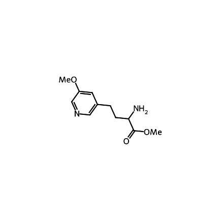 COC(=O)C(N)CCc1cncc(OC)c1